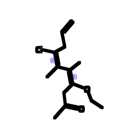 C=CC/C(Cl)=C(C)\C(C)=C(/CC(C)=O)OCC